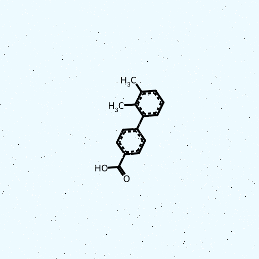 Cc1cccc(-c2ccc(C(=O)O)cc2)c1C